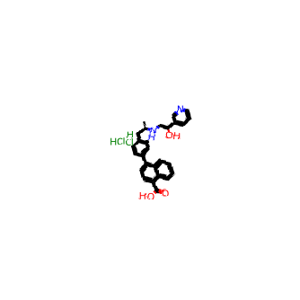 C[C@H](Cc1ccc(-c2ccc(C(=O)O)c3ccccc23)cc1)NC[C@H](O)c1cccnc1.Cl.Cl